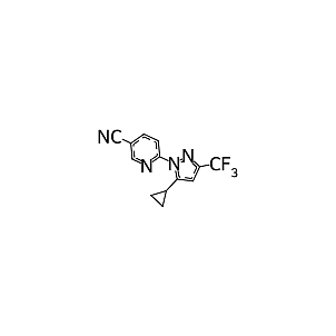 N#Cc1ccc(-n2nc(C(F)(F)F)cc2C2CC2)nc1